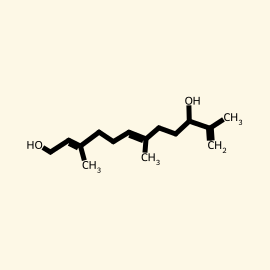 C=C(C)C(O)CC/C(C)=C/CC/C(C)=C/CO